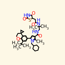 Cc1c(C(=O)NCC(C)(C)NC(=O)CC2SC(=O)NC2=O)cc(-c2cc(C(C)(C)C)c3c(c2)C2(CCO3)CC2)n1CC1CCCCC1